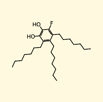 CCCCCCCc1c(O)c(O)c(F)c(CCCCCCC)c1CCCCCCC